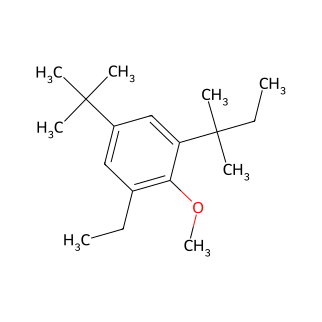 CCc1cc(C(C)(C)C)cc(C(C)(C)CC)c1OC